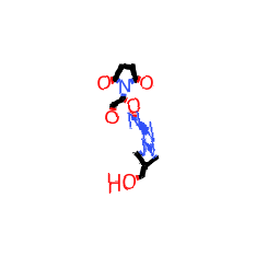 O=CC(ON=NN1CC(CO)C1)N1C(=O)CCC1=O